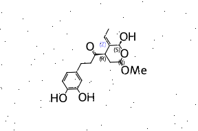 C/C=C1\[C@@H](O)O[C@@H](OC)C[C@H]1C(=O)CCc1ccc(O)c(O)c1